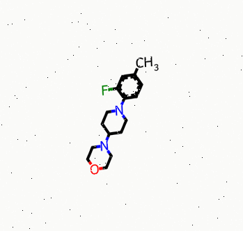 Cc1ccc(N2CCC(N3CCOCC3)CC2)c(F)c1